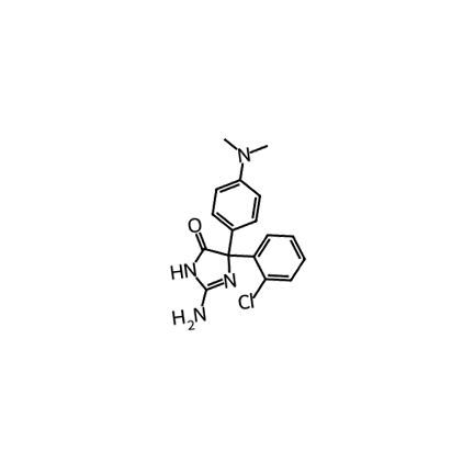 CN(C)c1ccc(C2(c3ccccc3Cl)N=C(N)NC2=O)cc1